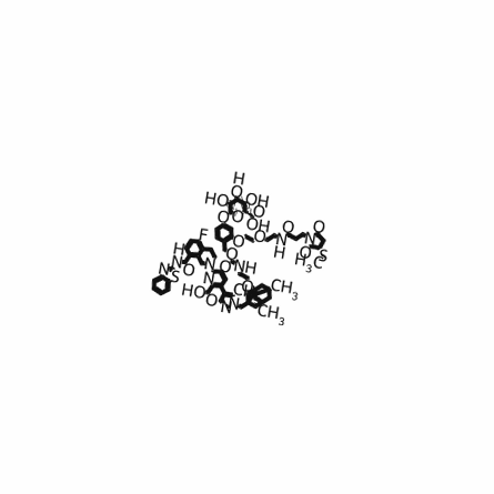 CSC1CC(=O)N(CCC(=O)NCCOCCOc2cc(O[C@@H]3O[C@H](C(=O)O)[C@@H](O)[C@H](O)[C@H]3O)ccc2COC(=O)NCCOC23CC4(C)CC(C)(CC(Cn5ncc(-c6ccc(N7CCc8c(F)ccc(C(=O)Nc9nc%10ccccc%10s9)c8C7)nc6C(=O)O)c5C)(C4)C2)C3)C1=O